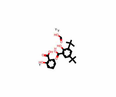 CC(C)(C)c1cc(C(=O)O)c(O)c(C(C)(C)C)c1.O=C(O)c1ccccc1O.O=CO.[Y].[Y].[Y]